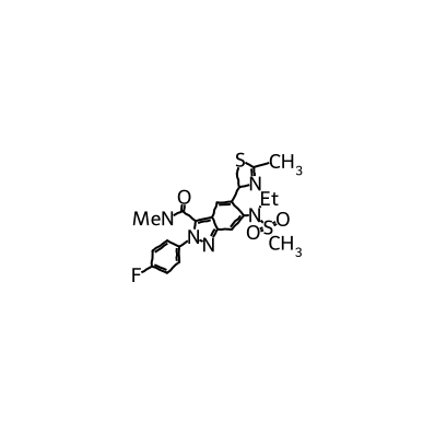 CCN(c1cc2nn(-c3ccc(F)cc3)c(C(=O)NC)c2cc1C1CSC(C)=N1)S(C)(=O)=O